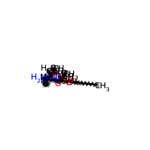 CCCCCCCCCCCCCCCC(=O)OCCSCC(NC(=O)OC(C)(C)C)C(=O)NCCCn1c(CN(CC)C(=O)OC(C)(C)C)nc2c(N)nc3ccccc3c21